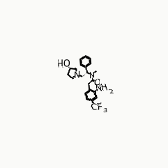 CN(C(=O)Cc1ccc(C(F)(F)F)cc1N)[C@H](CN1CC[C@H](O)C1)c1ccccc1